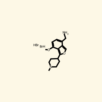 Br.Br.COc1ccc(CN)c2coc(C3CCN(C)CC3)c12